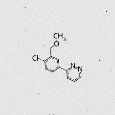 COCc1cc(-c2cccnn2)ccc1Cl